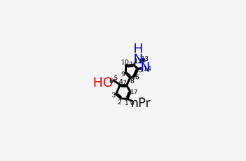 CCCc1ccc(CO)c(-c2ccc3[nH]cnc3c2)c1